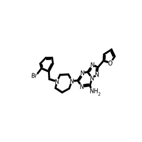 Nc1nc(N2CCCN(Cc3ccccc3Br)CC2)nc2nc(-c3ccco3)nn12